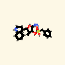 C=C1C(OS(=O)(=O)Cc2ccccc2)=C(N)OC1c1ccnc2ccccc12